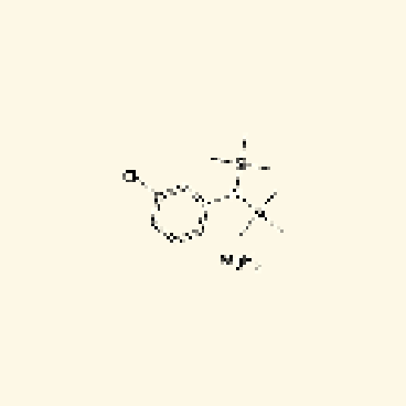 C[Si](C)(C)N(c1cccc(Cl)c1)[Si](C)(C)C.[MgH2]